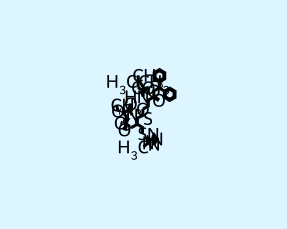 CO[C@H]1C(=O)N2C(C(=S)OCC(NC(=O)OC(C)(C)C)C(=O)OC(c3ccccc3)c3ccccc3)=C(CSc3nnnn3C)CS(=O)(=O)C12